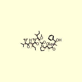 CC[C@H](C)[C@@H]([C@@H](CC(=O)N1CCC[C@H]1[C@H](OC)[C@@H](C)C(=O)N[C@H](C)[C@@H](O)c1ccccc1)OC)N(C)C(=O)[C@@H](NC(=O)[C@H](C(C)C)N(C)C)[C@@H](C)CC